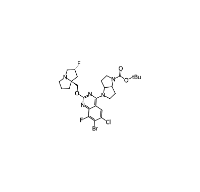 CC(C)(C)OC(=O)N1CCC2C1CCN2c1nc(OC[C@@]23CCCN2C[C@H](F)C3)nc2c(F)c(Br)c(Cl)cc12